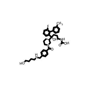 Cc1cccc(-c2c(F)cccc2[C@](O)(CCCNC(=O)O)[C@@H]2CCCN(C(=O)c3ccc(CNCCCCO)cc3)C2)c1